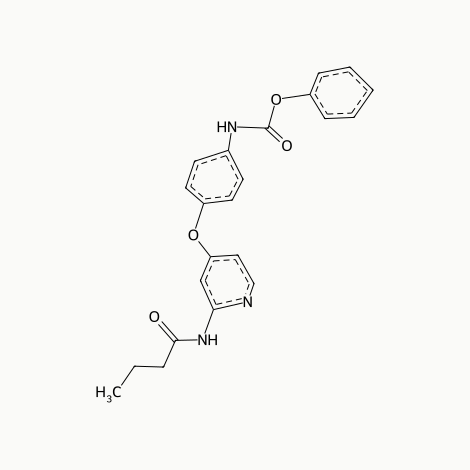 CCCC(=O)Nc1cc(Oc2ccc(NC(=O)Oc3ccccc3)cc2)ccn1